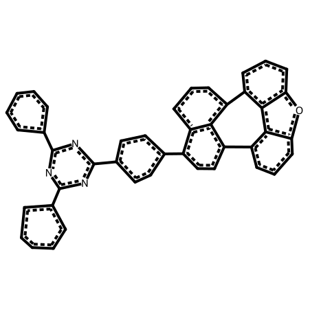 c1ccc(-c2nc(-c3ccccc3)nc(-c3ccc(-c4ccc5c6c(cccc46)-c4cccc6oc7cccc-5c7c46)cc3)n2)cc1